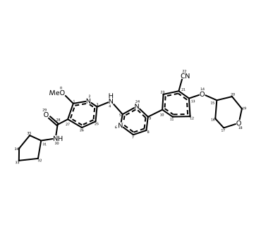 COc1nc(Nc2nccc(-c3ccc(OC4CCOCC4)c(C#N)c3)n2)ccc1C(=O)NC1CCCC1